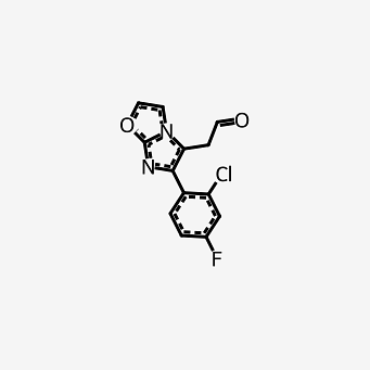 O=CCc1c(-c2ccc(F)cc2Cl)nc2occn12